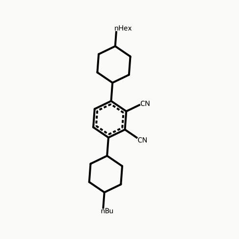 CCCCCCC1CCC(c2ccc(C3CCC(CCCC)CC3)c(C#N)c2C#N)CC1